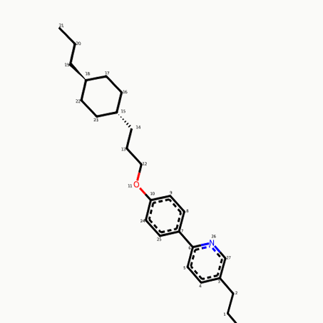 CCCc1ccc(-c2ccc(OCCC[C@H]3CC[C@H](CCC)CC3)cc2)nc1